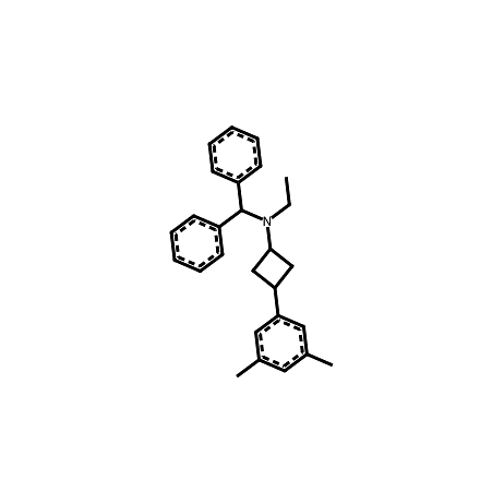 CCN(C1CC(c2cc(C)cc(C)c2)C1)C(c1ccccc1)c1ccccc1